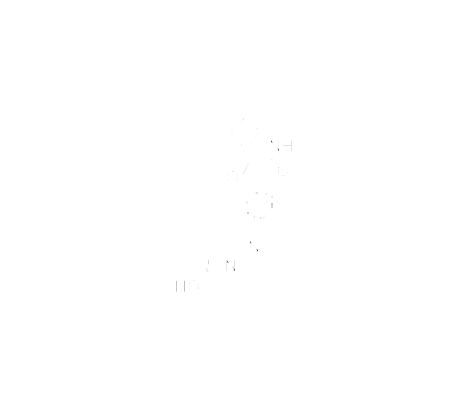 O=C(O)CN1CCN(Cc2ccc3c(c2)CO/C3=C2/C(=O)Nc3ccccc32)CC1